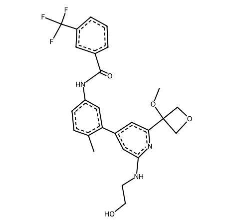 COC1(c2cc(-c3cc(NC(=O)c4cccc(C(F)(F)F)c4)ccc3C)cc(NCCO)n2)COC1